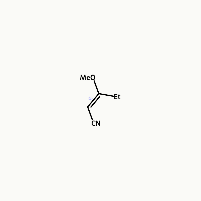 CC/C(=C\C#N)OC